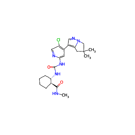 CNC(=O)[C@H]1CCCC[C@@H]1NC(=O)Nc1cc(-c2cnn3c2CC(C)(C)C3)c(Cl)cn1